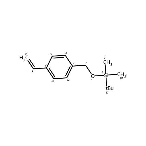 C=Cc1ccc(CO[Si](C)(C)C(C)(C)C)cc1